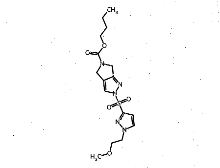 CCCCOC(=O)N1Cc2cn(S(=O)(=O)c3ccn(CCOC)n3)nc2C1